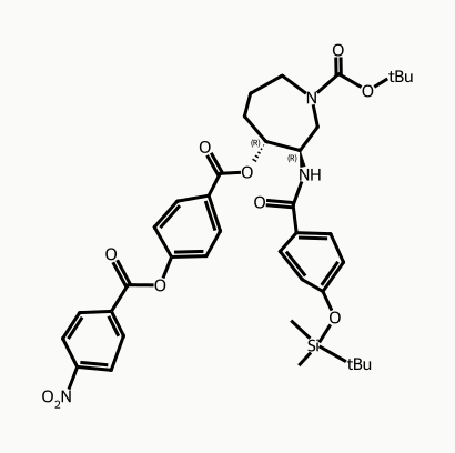 CC(C)(C)OC(=O)N1CCC[C@@H](OC(=O)c2ccc(OC(=O)c3ccc([N+](=O)[O-])cc3)cc2)[C@H](NC(=O)c2ccc(O[Si](C)(C)C(C)(C)C)cc2)C1